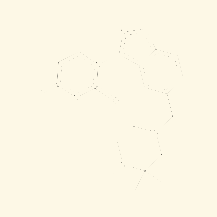 CN1CCN(Cc2ccc3onc(-n4ccc(=O)[nH]c4=O)c3c2)CC1(C)C